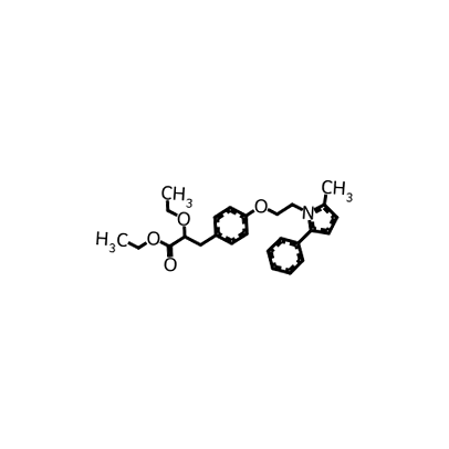 CCOC(=O)C(Cc1ccc(OCCn2c(C)ccc2-c2ccccc2)cc1)OCC